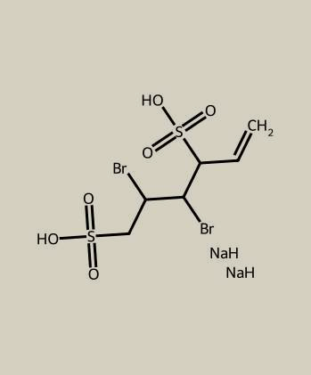 C=CC(C(Br)C(Br)CS(=O)(=O)O)S(=O)(=O)O.[NaH].[NaH]